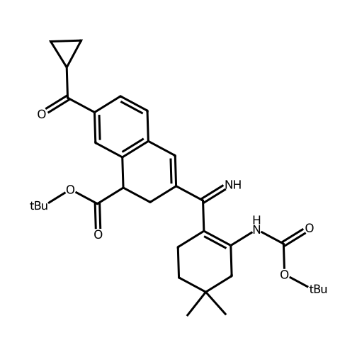 CC1(C)CCC(C(=N)C2=Cc3ccc(C(=O)C4CC4)cc3C(C(=O)OC(C)(C)C)C2)=C(NC(=O)OC(C)(C)C)C1